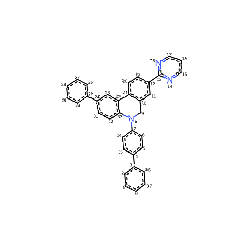 c1ccc(-c2ccc(N3Cc4cc(-c5ncccn5)ccc4-c4cc(-c5ccccc5)ccc43)cc2)cc1